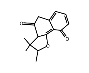 CC1OC2=C3C(=O)C=CC=C3CC(=O)C2C1(C)C